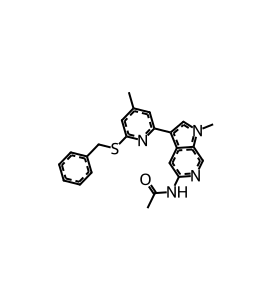 CC(=O)Nc1cc2c(-c3cc(C)cc(SCc4ccccc4)n3)cn(C)c2cn1